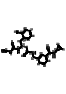 CC(C)(C)OC(=O)N[C@@H](CC(=O)NCc1cccc(C(=O)NC2CC2)c1)Cc1ccccc1F